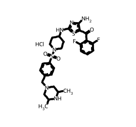 CC1CN(Cc2ccc(S(=O)(=O)N3CCC(Nc4nc(N)c(C(=O)c5c(F)cccc5F)s4)CC3)cc2)CC(C)N1.Cl